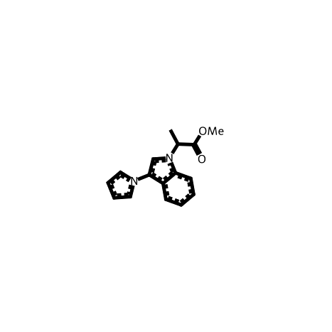 COC(=O)C(C)n1cc(-n2cccc2)c2ccccc21